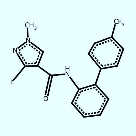 Cn1cc(C(=O)Nc2ccccc2-c2ccc(C(F)(F)F)cc2)c(I)n1